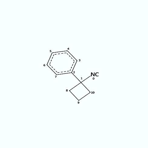 [C-]#[N+]C1(c2ccccc2)CCC1